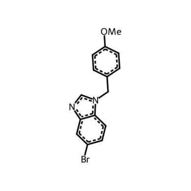 COc1ccc(Cn2cnc3cc(Br)ccc32)cc1